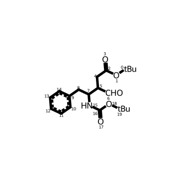 CC(C)(C)OC(=O)CC(C=O)C(Cc1ccccc1)NC(=O)OC(C)(C)C